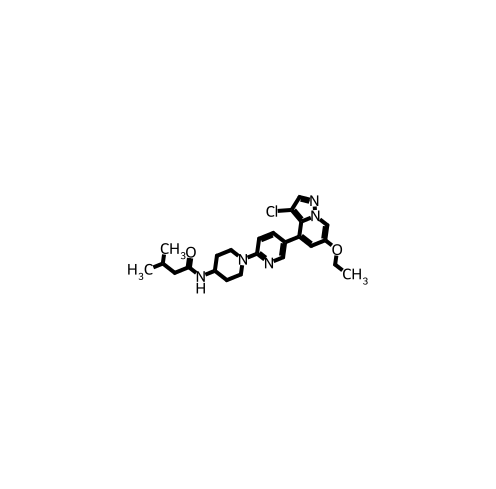 CCOc1cc(-c2ccc(N3CCC(NC(=O)CC(C)C)CC3)nc2)c2c(Cl)cnn2c1